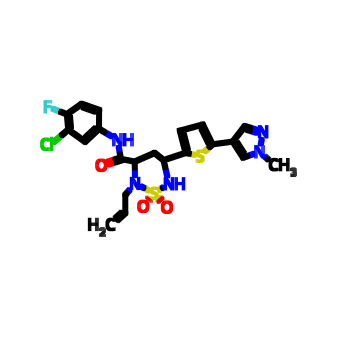 C=CCN1C(C(=O)Nc2ccc(F)c(Cl)c2)CC(c2ccc(-c3cnn(C)c3)s2)NS1(=O)=O